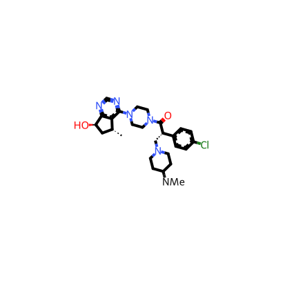 CNC1CCN(C[C@H](C(=O)N2CCN(c3ncnc4c3[C@H](C)C[C@H]4O)CC2)c2ccc(Cl)cc2)CC1